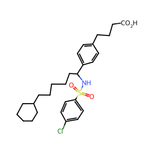 O=C(O)CCCc1ccc(C(CCCCCC2CCCCC2)NS(=O)(=O)c2ccc(Cl)cc2)cc1